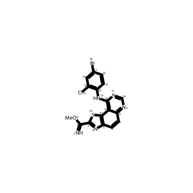 COC(=N)c1nc2ccc3ncnc(Nc4ccc(Br)cc4Cl)c3c2s1